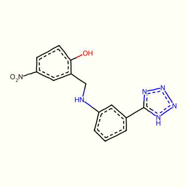 O=[N+]([O-])c1ccc(O)c(CNc2cccc(-c3nnn[nH]3)c2)c1